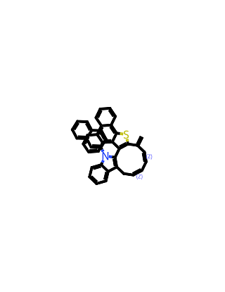 C=C1/C=C\C=C/Cc2c(n(-c3ccc4ccccc4c3)c3ccccc23)-c2c1sc1c3ccccc3c3ccccc3c21